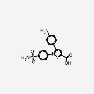 Nc1ccc(-c2cc(C(=O)O)nn2-c2ccc(S(N)(=O)=O)cc2)cc1